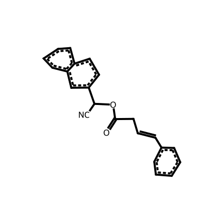 N#CC(OC(=O)CC=Cc1ccccc1)c1ccc2ccccc2c1